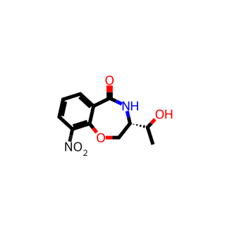 CC(O)[C@@H]1COc2c(cccc2[N+](=O)[O-])C(=O)N1